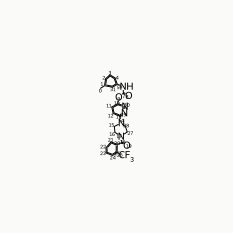 Cc1cccc(NC(=O)Oc2ccc(N3CCN(C(=O)c4ccccc4C(F)(F)F)CC3)nn2)c1